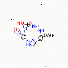 COc1ccc2cc1CNCCNC(=O)[C@@H]1C[C@@H](O)CN1Cc1cc(ccc1N1CCOCC1)Nc1nccc-2n1